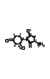 Nc1cc(=O)n(-c2ccc(Cl)cc2Cl)[nH]1